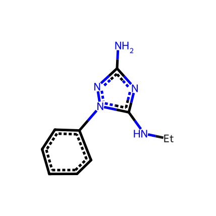 CCNc1nc(N)nn1-c1ccccc1